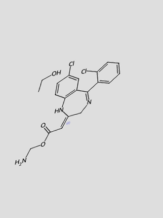 CCO.NCOC(=O)/C=C1/CN=C(c2ccccc2Cl)c2cc(Cl)ccc2N1